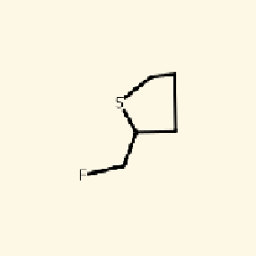 FCC1CCCS1